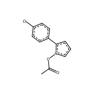 CC(=O)On1cccc1-c1ccc(Cl)cc1